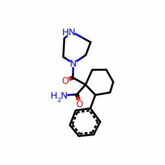 NC(=O)C1(C(=O)N2CCNCC2)CCCCC1c1ccccc1